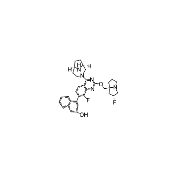 Oc1cc(-c2ccc3c(N4CC[C@H]5CC[C@@H](C4)N5)nc(OC[C@@]45CCCN4C[C@H](F)C5)nc3c2F)c2ccccc2c1